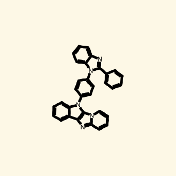 c1ccc(-c2nc3ccccc3n2-c2ccc(-n3c4ccccc4c4nc5ccccn5c43)cc2)cc1